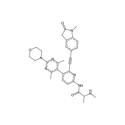 CNC(C)C(=O)Nc1ccc(-c2c(C)nc(N3CCOCC3)nc2C)c(C#Cc2ccc3c(c2)CC(=O)N3C)n1